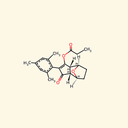 CCC(=O)OC1=C(c2c(C)cc(C)cc2C)C(=O)[C@@H]2[C@H]1[C@H]1CC[C@@H]2O1